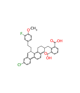 COc1ccc(CCC2C=c3cc(Cl)ccc3=c3ccc4c(c32)CCC(Cc2c(C(=O)O)cccc2C(=O)O)C=4)cc1F